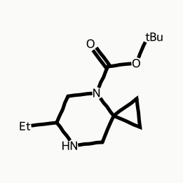 CCC1CN(C(=O)OC(C)(C)C)C2(CC2)CN1